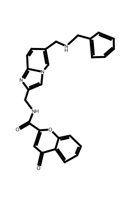 O=C(NCc1cn2cc(CNCc3ccccc3)ccc2n1)c1cc(=O)c2ccccc2o1